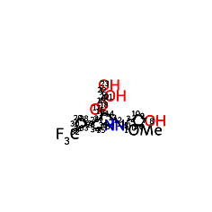 COC[C@H](Cc1ccc(O)cc1)NCc1cc(C(=O)OCC(O)CO)c2cc(-c3cccc(C(F)(F)F)c3)ccc2n1